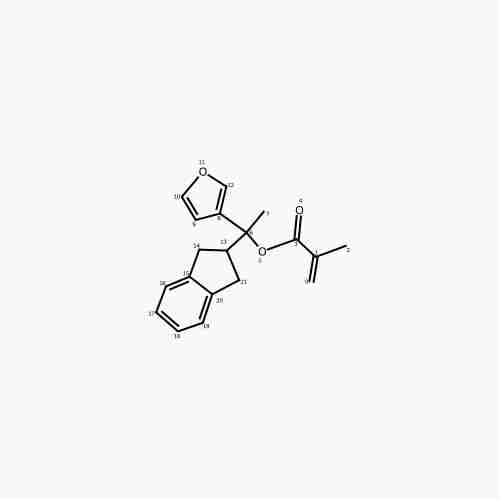 C=C(C)C(=O)OC(C)(c1ccoc1)C1Cc2ccccc2C1